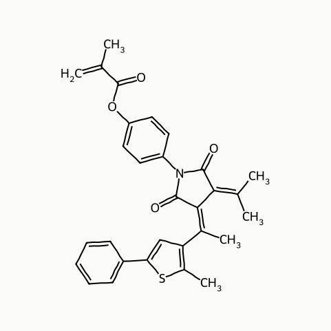 C=C(C)C(=O)Oc1ccc(N2C(=O)C(=C(C)C)C(=C(C)c3cc(-c4ccccc4)sc3C)C2=O)cc1